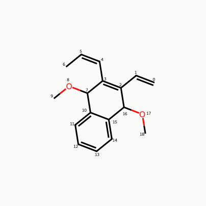 C=CC1=C(/C=C\C)C(OC)c2ccccc2C1OC